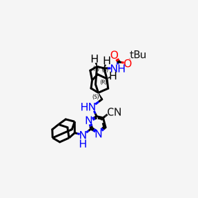 CC(C)(C)OC(=O)N[C@@H]1[C@@H]2CC3C[C@H]1C[C@@](CNc1nc(NC4C5CC6CC(C5)CC4C6)ncc1C#N)(C3)C2